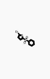 CCc1ccc(S(=O)(=O)c2ccccc2)s1